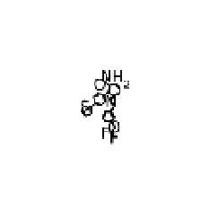 NC(=O)c1cccc2c1c1[c]cc(-c3cccs3)cc1n2Cc1cccc(OC(F)F)c1